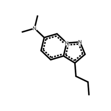 CCCc1cnn2cc(N(C)C)ccc12